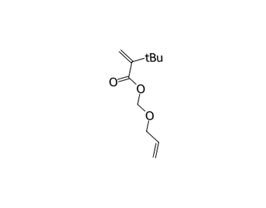 C=CCOCOC(=O)C(=C)C(C)(C)C